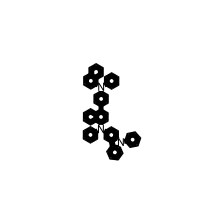 c1ccc(N(c2ccc(-c3ccc(N(c4ccccc4)c4ccc5c(c4)c4ccccc4n5-c4ccccc4)c4ccccc34)cc2)c2cccc3ccccc23)cc1